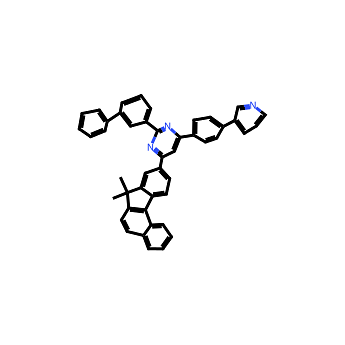 CC1(C)c2cc(-c3cc(-c4ccc(-c5cccnc5)cc4)nc(-c4cccc(-c5ccccc5)c4)n3)ccc2-c2c1ccc1ccccc21